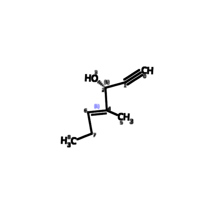 C#C[C@@H](O)/C(C)=C/CC